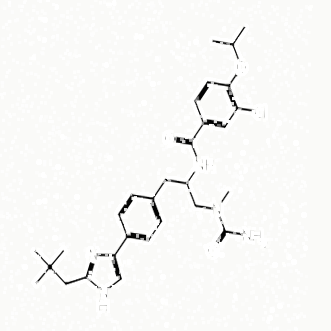 CC(C)Oc1ccc(C(=O)NC(Cc2ccc(-c3c[nH]c(CC(C)(C)C)n3)cc2)CN(C)C(N)=O)cc1Cl